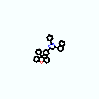 c1ccc(-c2nc(-c3ccc(C4(c5ccccc5)c5ccccc5Oc5ccccc54)cc3)cc(-c3cccc4ccccc34)n2)cc1